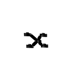 CCC[CH2][Co]([CH2]CCC)([CH2]CCC)[CH2]CCC